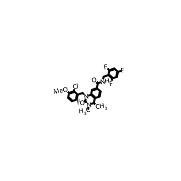 COc1ccc(F)c(CN2C(=O)N(C)C(C)c3ccc(C(=O)NCc4c(F)cc(F)cc4F)cc32)c1Cl